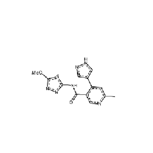 COc1nnc(NC(=O)c2cnc(C)cc2-c2cn[nH]c2)s1